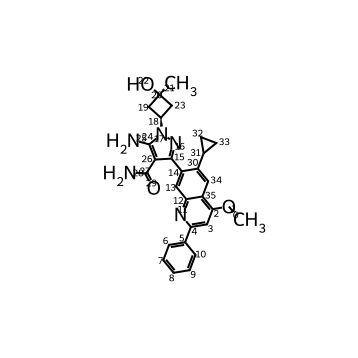 COc1cc(-c2ccccc2)nc2cc(-c3nn([C@H]4C[C@](C)(O)C4)c(N)c3C(N)=O)c(C3CC3)cc12